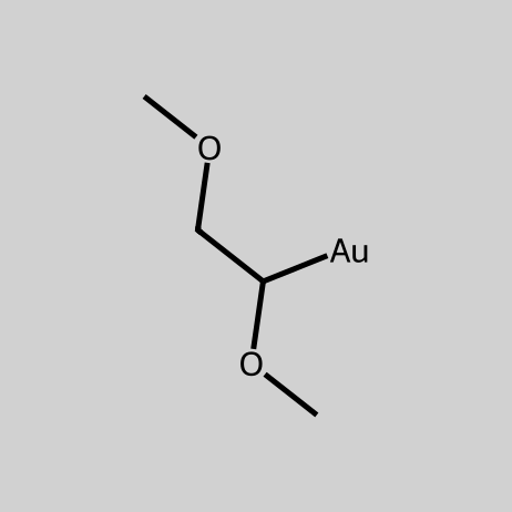 COC[CH]([Au])OC